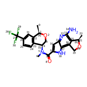 C[C@H]1OC[C@@H](N(C)C(=O)c2cc3nc(N)c4c(c3[nH]2)CO[C@@H]4C)c2ccc(C(F)(F)F)cc21